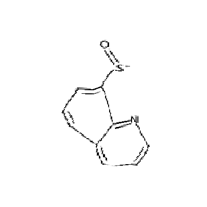 O=[S+]c1cccc2cccnc12